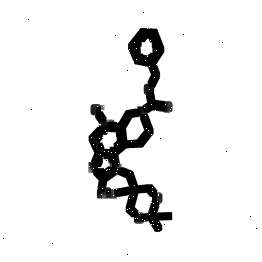 CCCCc1nc2c[n+]([O-])c3c(c2n1CC1(C)COC(C)(C)OC1)CCN(C(=O)OCc1ccccc1)C3